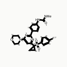 CNC(=O)Nc1ccc(-c2nc(N3CCOCC3)cc(C3(S(=O)(=O)c4ccc(F)cc4)CC3)n2)cc1